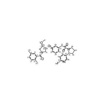 CO[C@@H]1CN(C(=O)c2cc(C)ccc2C)C[C@H]1Oc1cccc(CS(=O)(=O)N2CCCC2c2ccc(F)nc2)c1